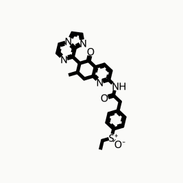 CC[S+]([O-])c1ccc(CC(=O)Nc2ccc3c(n2)CC(C)C(c2nccn4ccnc24)C3=O)cc1